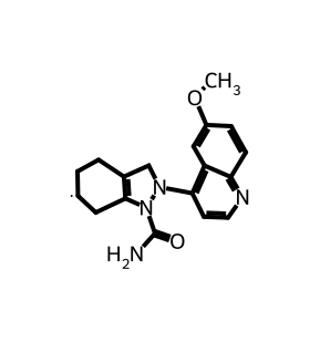 COc1ccc2nccc(N3CC4=C(C[CH]CC4)N3C(N)=O)c2c1